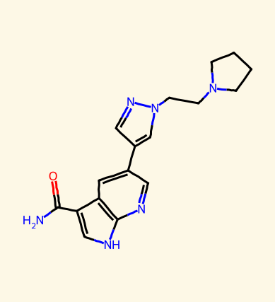 NC(=O)c1c[nH]c2ncc(-c3cnn(CCN4CCCC4)c3)cc12